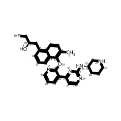 Cc1ccc2c(C[C@@H](O)CF)cccc2c1Oc1ncccc1-c1ccnc(N[C@H]2CCCNC2)n1